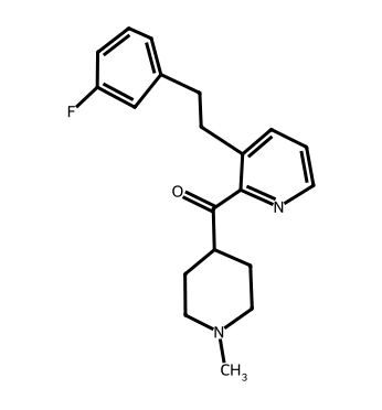 CN1CCC(C(=O)c2ncccc2CCc2cccc(F)c2)CC1